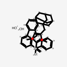 Cl.Cl.[CH2]=[Zr]([CH2]C)([C]1=C(C)C(CC23CC4CC(CC(C4)C2)C3)=CC1C)([c]1ccccc1)[c]1cccc2c1Cc1ccccc1-2